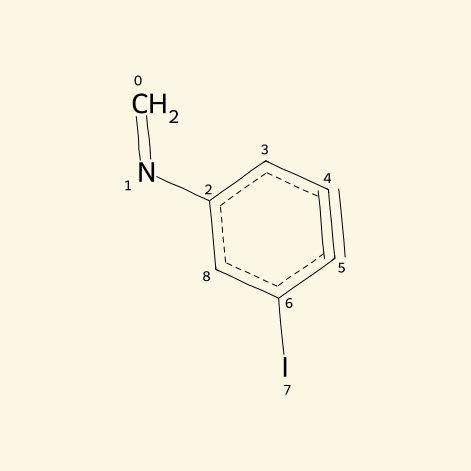 C=Nc1cc#cc(I)c1